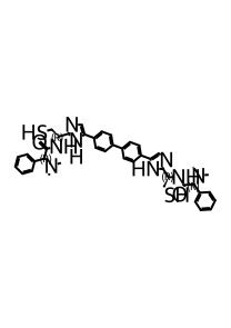 CN(C)[C@@H](C(=O)N[C@@H](CS)c1ncc(-c2ccc(-c3ccc(-c4cnc([C@H](CS)NC(=O)[C@@H](c5ccccc5)N(C)C)[nH]4)cc3)cc2)[nH]1)c1ccccc1